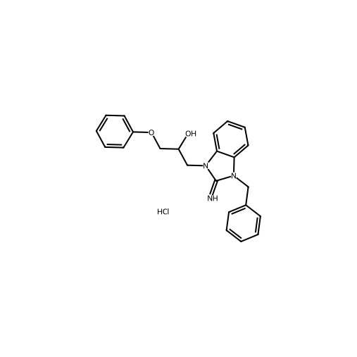 Cl.N=c1n(Cc2ccccc2)c2ccccc2n1CC(O)COc1ccccc1